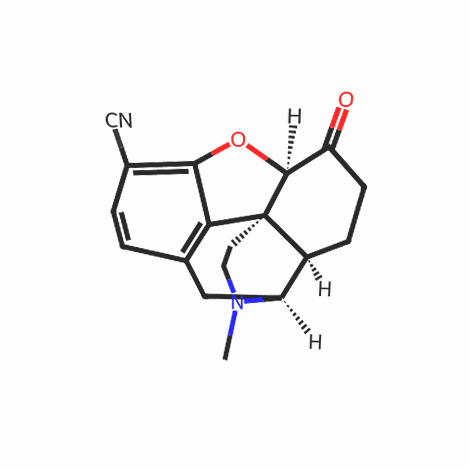 CN1CC[C@]23c4c5ccc(C#N)c4O[C@H]2C(=O)CC[C@H]3[C@H]1C5